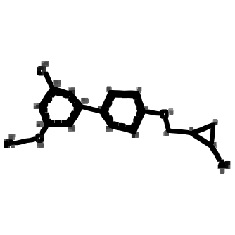 CC(=O)C1CC1COc1ccc(-c2cc(Cl)cc(OC(C)C)c2)cc1